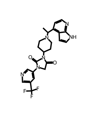 CC(c1ccnc2[nH]ccc12)N1CCC(N2C(=O)CN(c3cncc(C(F)(F)F)c3)C2=O)CC1